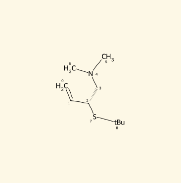 C=C[C@H](CN(C)C)SC(C)(C)C